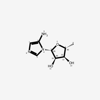 C[C@H]1O[C@@H](n2cncc2N)[C@H](O)[C@@H]1O